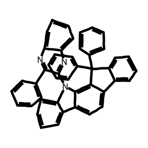 c1ccc(-c2nc3ccccc3nc2-n2c3ccccc3c3ccc4c(c32)C(c2ccccc2)(c2ccccc2)c2ccccc2-4)cc1